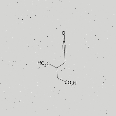 O=P#CCC(CC(=O)O)C(=O)O